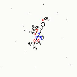 COc1ccc(CCCN(C(=O)OC(C)(C)C)/C(=N/C(=O)OC(C)(C)C)n2cccn2)cc1